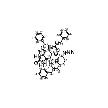 CC([C@@H]1CC[C@@H](N=[N+]=[N-])[C@@H](O[C@H]2[C@H](O)[C@H]3OC(=O)N[C@@H]3[C@@H](OCc3ccccc3)[C@@H]2NC(=O)OCc2ccccc2)O1)N(Cc1ccccc1)C(=O)O